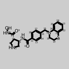 O=C(N[C@@H]1CNC[C@@H]1C(=O)NO)c1ccc(CN2CCSc3ccccc32)cc1